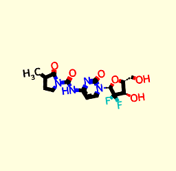 CC1CCN(C(=O)Nc2ccn([C@@H]3O[C@H](CO)[C@@H](O)C3(F)F)c(=O)n2)C1=O